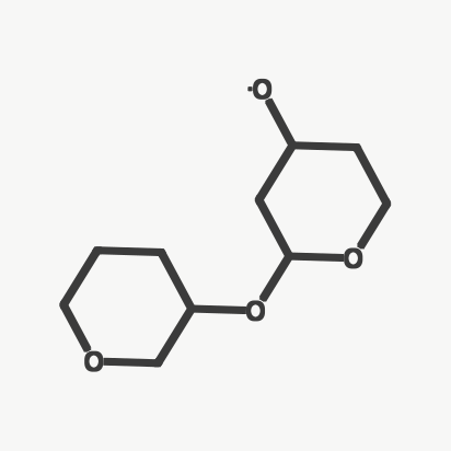 [O]C1CCOC(OC2CCCOC2)C1